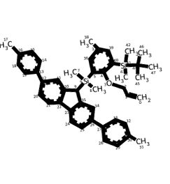 C=CCOc1c([Si](C)(C)C2c3cc(-c4ccc(C)cc4)ccc3-c3ccc(-c4ccc(C)cc4)cc32)cc(C)cc1[Si](C)(C)C(C)(C)C